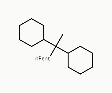 CCCCCC(C)(C1CCCCC1)C1CCCCC1